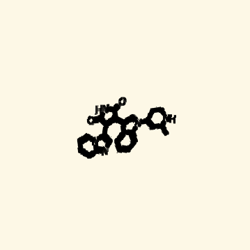 CC1CC(n2cc(C3=C(c4cnc5ccccn45)C(=O)NC3=O)c3ccccc32)CCN1